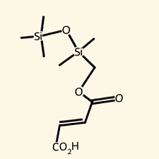 C[Si](C)(C)O[Si](C)(C)COC(=O)/C=C/C(=O)O